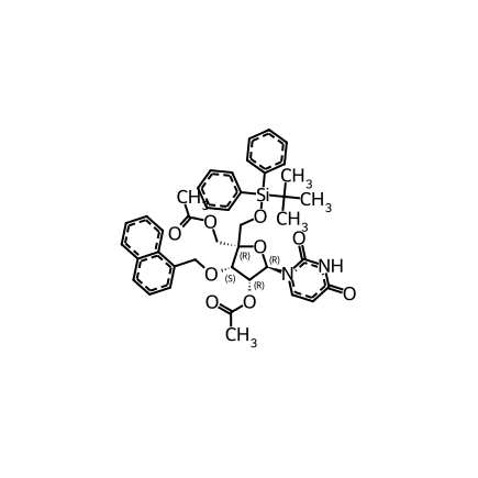 CC(=O)OC[C@]1(CO[Si](c2ccccc2)(c2ccccc2)C(C)(C)C)O[C@@H](n2ccc(=O)[nH]c2=O)[C@H](OC(C)=O)[C@@H]1OCc1cccc2ccccc12